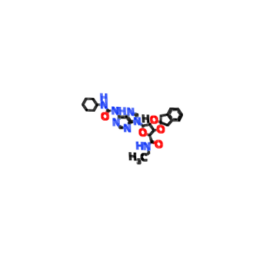 CCNC(=O)[C@H]1O[C@@H](n2cnc3c(NC(=O)NC4CCCCC4)ncnc32)[C@H]2OC3(Cc4ccccc4C3)OC12